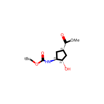 COC(=O)[C@H]1C[C@H](NC(=O)OC(C)(C)C)[C@@H](O)C1